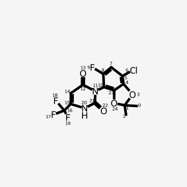 CC1(C)Oc2c(Cl)cc(F)c(-n3c(=O)cc(C(F)(F)F)[nH]c3=O)c2O1